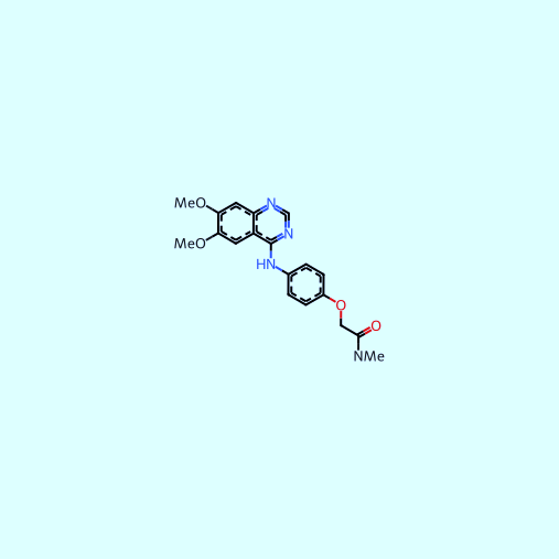 CNC(=O)COc1ccc(Nc2ncnc3cc(OC)c(OC)cc23)cc1